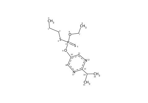 CCCSP(=S)(OCC)Oc1cnc(C(C)C)nc1